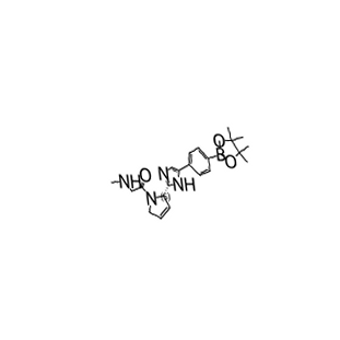 CNCC(=O)N1CC=C[C@H]1c1ncc(-c2ccc(B3OC(C)(C)C(C)(C)O3)cc2)[nH]1